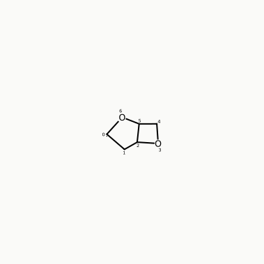 [CH]1CC2OCC2O1